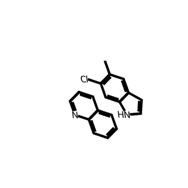 Cc1cc2cc[nH]c2cc1Cl.c1ccc2ncccc2c1